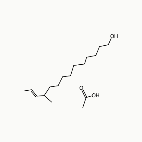 CC(=O)O.CC=CC(C)CCCCCCCCCCO